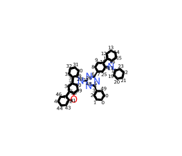 c1ccc(-c2nc(-c3ccc4c5ccccc5n(-c5ccccc5)c4c3)nc(-n3c4ccccc4c4cc5c(cc43)oc3ccccc35)n2)cc1